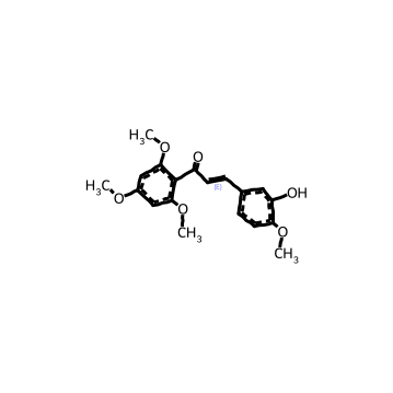 COc1cc(OC)c(C(=O)/C=C/c2ccc(OC)c(O)c2)c(OC)c1